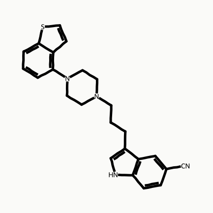 N#Cc1ccc2[nH]cc(CCCN3CCN(c4cccc5sccc45)CC3)c2c1